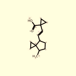 CC1CCC(/C=C/C2(C(=O)O)CC2)C12CC2